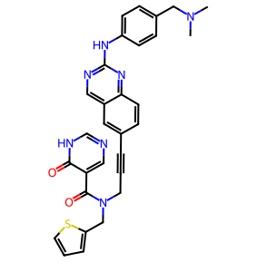 CN(C)Cc1ccc(Nc2ncc3cc(C#CCN(Cc4cccs4)C(=O)c4cnc[nH]c4=O)ccc3n2)cc1